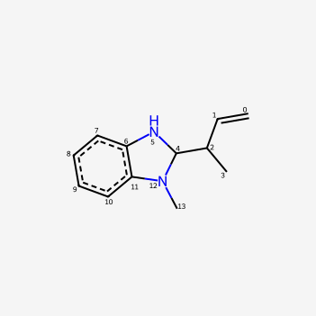 C=CC(C)C1Nc2ccccc2N1C